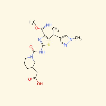 C=C(c1cnn(C)c1)c1sc(NC(=O)N2CCCC(CC(=O)O)C2)nc1C(=N)OC